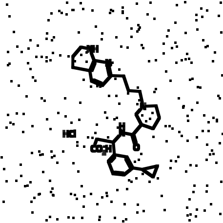 Cl.O=C(O)CC(NC(=O)C1CCCN(CCCc2ccc3c(n2)NCCC3)C1)c1cccc(C2CC2)c1